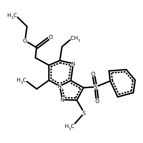 CCOC(=O)Cc1c(CC)nc2c(S(=O)(=O)c3ccccc3)c(SC)nn2c1CC